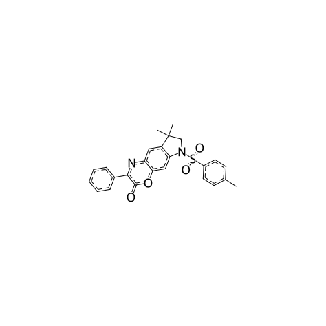 Cc1ccc(S(=O)(=O)N2CC(C)(C)c3cc4nc(-c5ccccc5)c(=O)oc4cc32)cc1